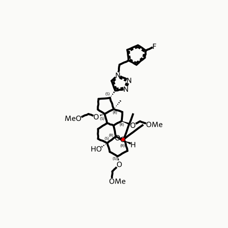 COCO[C@H]1C[C@H]2OC(C)(C)OC[C@]23C2C(CC[C@]3(O)C1)[C@@]1(OCOC)CC[C@H](c3cn(Cc4ccc(F)cc4)nn3)[C@@]1(C)C[C@H]2OCOC